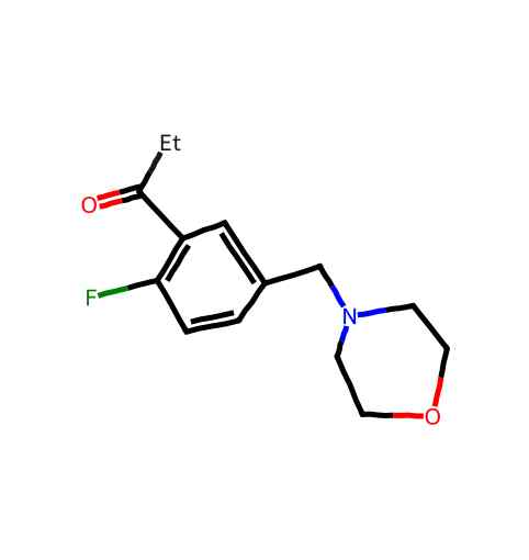 CCC(=O)c1cc(CN2CCOCC2)ccc1F